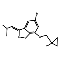 CN(C)C=C1OCc2c(OCC3(F)CC3)cc(Br)cc21